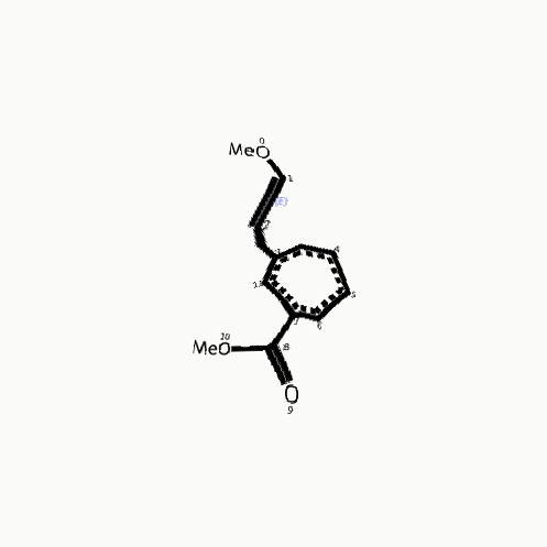 CO/C=C/c1cccc(C(=O)OC)c1